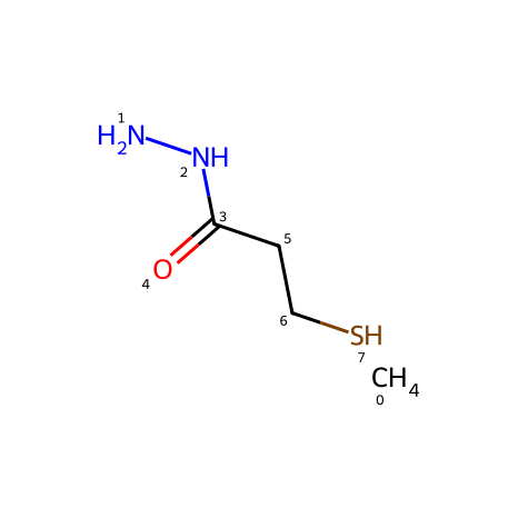 C.NNC(=O)CCS